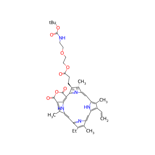 C=Cc1c(C)c2cc3nc(c4c5[nH]c(cc6nc(cc1[nH]2)C(C)=C6CC)c(C)c5C(=O)OC4=O)[C@@H](CCC(=O)OCCOCCNC(=O)OC(C)(C)C)[C@@H]3C